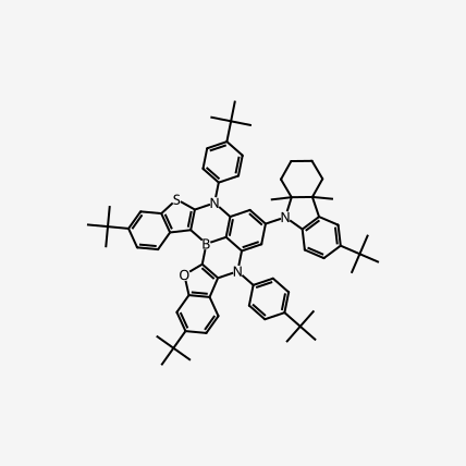 CC(C)(C)c1ccc(N2c3cc(N4c5ccc(C(C)(C)C)cc5C5(C)CCCCC45C)cc4c3B(c3oc5cc(C(C)(C)C)ccc5c3N4c3ccc(C(C)(C)C)cc3)c3c2sc2cc(C(C)(C)C)ccc32)cc1